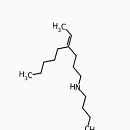 C/C=C(\CCCCC)CCCNCCCC